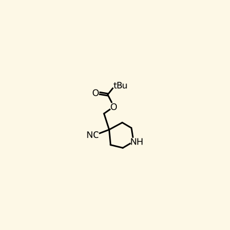 CC(C)(C)C(=O)OCC1(C#N)CCNCC1